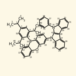 CC(C)c1cc(C(C)C)c(B2c3ccccc3Oc3cc(-n4c5ccccc5c5c6ccccc6n(-c6ccccc6)c54)ccc32)c(C(C)C)c1